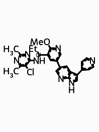 CC[C@H](Nc1nc(C)nc(C)c1Cl)c1cc(-c2cnc3[nH]cc(-c4ccncc4)c3c2)cnc1OC